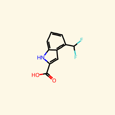 O=C(O)c1cc2c(C(F)F)cccc2[nH]1